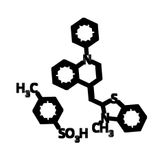 CN1c2ccccc2SC1C=C1C=CN(c2ccccc2)c2ccccc21.Cc1ccc(S(=O)(=O)O)cc1